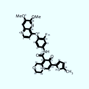 COc1cc2nccc(Oc3ccc(NC(=O)c4c5n(cc(-c6ccc(C)s6)c4=O)CCOC5)cc3F)c2nc1OC